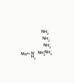 [Mo+6].[NH2-].[NH2-].[NH2-].[NH2-].[NH2-].[NH2-]